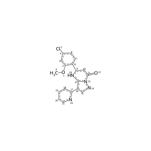 COc1cc(Cl)ccc1-c1cc(=O)n2ncc(-c3ccccn3)c2[nH]1